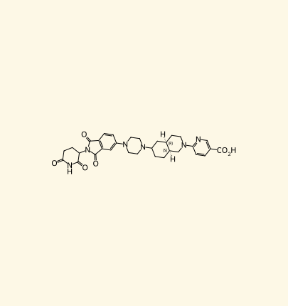 O=C1CCC(N2C(=O)c3ccc(N4CCN(C5CC[C@@H]6CN(c7ccc(C(=O)O)cn7)CC[C@@H]6C5)CC4)cc3C2=O)C(=O)N1